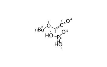 CCCCOC=C=O.O=[PH](O)O